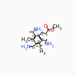 COC(=O)CCc1c(CN)c(C)c(CN)c(C)c1CN